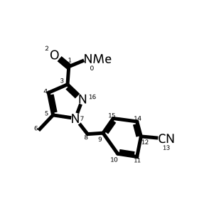 CNC(=O)c1cc(C)n(Cc2ccc(C#N)cc2)n1